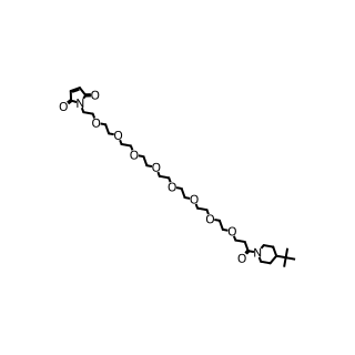 CC(C)(C)C1CCN(C(=O)CCOCCOCCOCCOCCOCCOCCOCCOCCN2C(=O)C=CC2=O)CC1